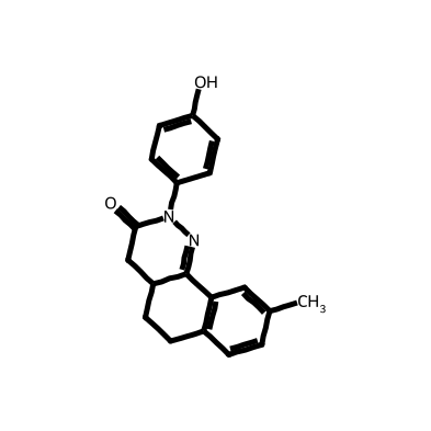 Cc1ccc2c(c1)C1=NN(c3ccc(O)cc3)C(=O)CC1CC2